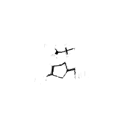 NCC1CCC(N)C1.O=C(O)C(F)(F)F